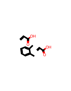 C=CC(=O)O.C=CC(=O)O.Cc1ccccc1C